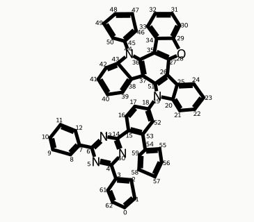 c1ccc(-c2nc(-c3ccccc3)nc(-c3ccc(-n4c5ccccc5c5c6oc7ccccc7c6c6c(c7ccccc7n6-c6ccccc6)c54)cc3-c3ccccc3)n2)cc1